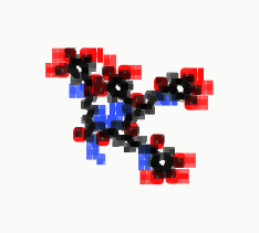 NC(=O)[C@@H](CCCCNC(=O)c1cc(O)c(O)c(O)c1)NC(=O)[C@@H](CCCCNC(=O)c1cc(O)c(O)c(O)c1)NC(=O)[C@@H](CCCCNC(=O)c1cc(O)c(O)c(O)c1)NC(=O)c1cc(O)c(O)c(O)c1